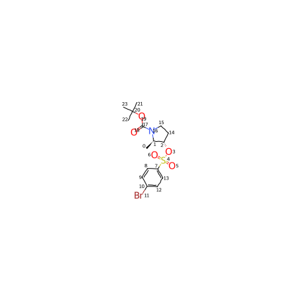 C[C@@H]1[C@@H](OS(=O)(=O)c2ccc(Br)cc2)CCN1C(=O)OC(C)(C)C